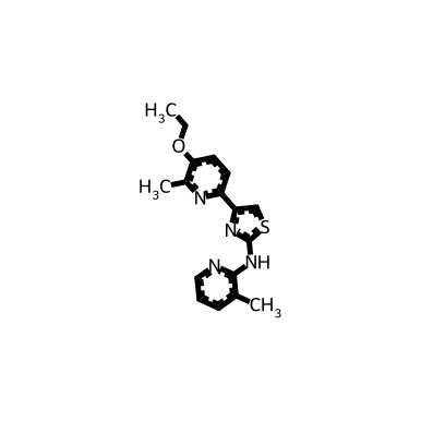 CCOc1ccc(-c2csc(Nc3ncccc3C)n2)nc1C